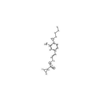 CCCCOc1ccc(C=CCOC(=O)C2CC2)cc1F